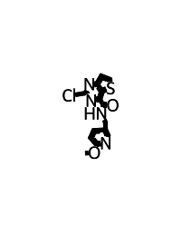 COc1ccc(CNC(=O)c2nc(Cl)nc3ccsc23)cn1